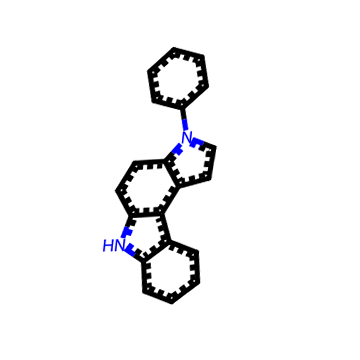 c1ccc(-n2ccc3c4c(ccc32)[nH]c2ccccc24)cc1